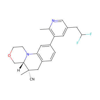 Cc1ncc([CH]C(F)F)cc1-c1ccc2c(c1)N1CCOC[C@H]1[C@@](C)(C#N)C2